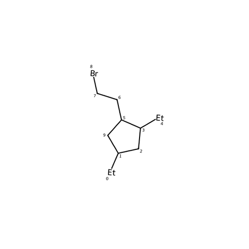 CCC1CC(CC)C(CCBr)C1